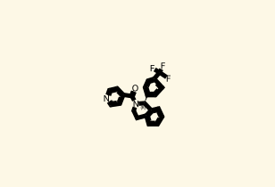 O=C(c1ccncc1)N1CCc2ccccc2[C@H]1c1ccc(C(F)(F)F)cc1